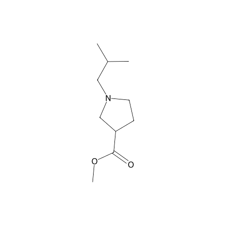 COC(=O)C1CCN(CC(C)C)C1